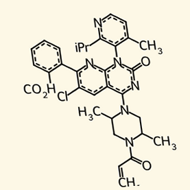 C=CC(=O)N1CC(C)N(c2nc(=O)n(-c3c(C)ccnc3C(C)C)c3nc(-c4ccccc4C(=O)O)c(Cl)cc23)CC1C